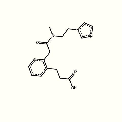 CN(CCn1ccnc1)C(=O)Cc1ccccc1CCC(=O)O